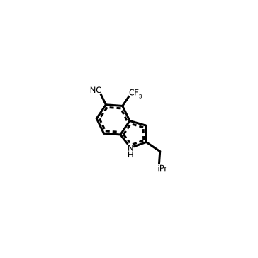 CC(C)Cc1cc2c(C(F)(F)F)c(C#N)ccc2[nH]1